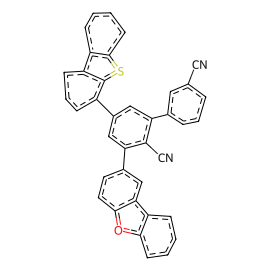 N#Cc1cccc(-c2cc(-c3cccc4c3sc3ccccc34)cc(-c3ccc4oc5ccccc5c4c3)c2C#N)c1